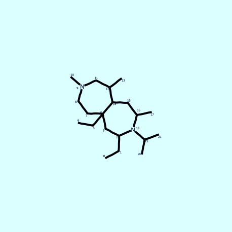 CCC1CC2(CC)CCN(C)CC(C)C2CC(C)N1C(C)C